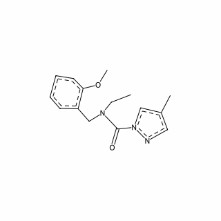 CCN(Cc1ccccc1OC)C(=O)n1cc(C)cn1